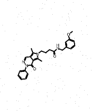 COc1cccc(CNC(=O)CCCn2c(C)c3cnn(-c4ccccc4)c(=O)c3c2C)c1